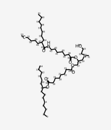 CCCCCCCCC(CCCCCC)OC(=O)CCCCCCC(=O)OCC(CN(C)CCO)OC(=O)CCCCCCNC(=O)C(CCCCCC)CCCCCCCC